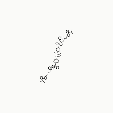 C=C(C)C(=O)OCCCCC(O)COC(=O)c1ccc(C(C)(CC)C(CC)(CC)c2ccc(C(=O)OC(CO)CCCCOC(=O)C(=C)C)cc2)cc1